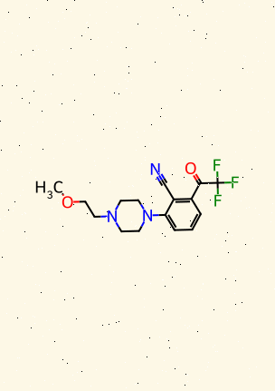 COCCN1CCN(c2cccc(C(=O)C(F)(F)F)c2C#N)CC1